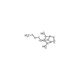 CCCCO[C@H]1C(O)C2COC(O2)C1O